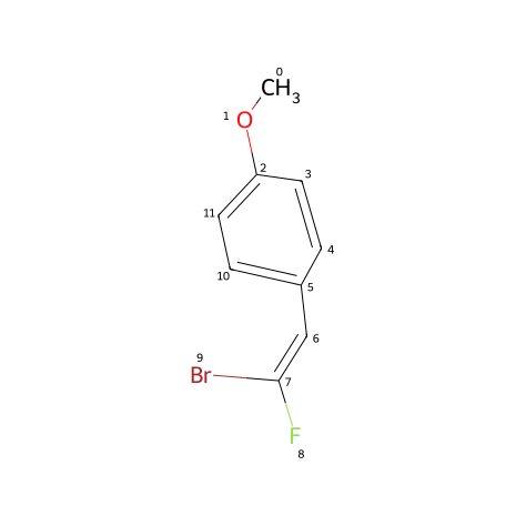 COc1ccc(C=C(F)Br)cc1